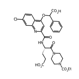 CCOC(=O)N1CCN(C(=O)[C@H](CCC(=O)O)NC(=O)c2cc(OC(C(=O)O)c3ccccc3)c3ccc(Cl)cc3n2)CC1